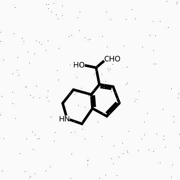 O=CC(O)c1cccc2c1CCNC2